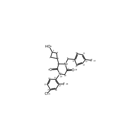 O=C1C(C2CC(O)C2)N(Cc2ccc(F)cc2)C(=O)CN1c1ccc(Cl)cc1F